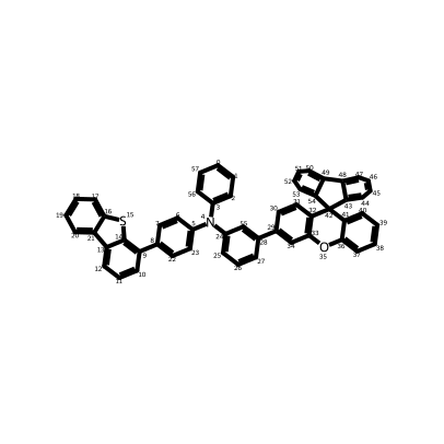 c1ccc(N(c2ccc(-c3cccc4c3sc3ccccc34)cc2)c2cccc(-c3ccc4c(c3)Oc3ccccc3C43c4ccccc4-c4ccccc43)c2)cc1